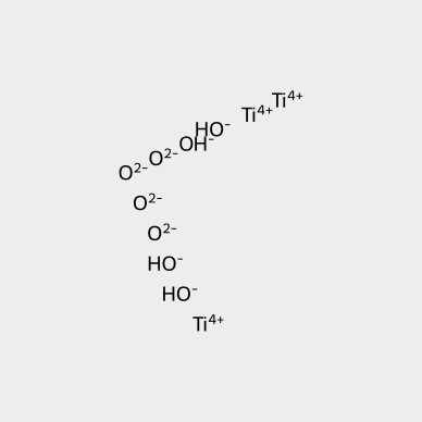 [O-2].[O-2].[O-2].[O-2].[OH-].[OH-].[OH-].[OH-].[Ti+4].[Ti+4].[Ti+4]